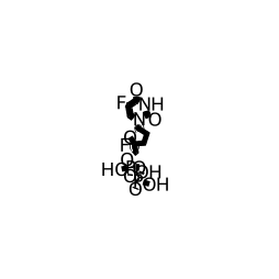 O=c1[nH]c(=O)n([C@H]2CC[C@@](F)(COP(=O)(O)OP(=O)(O)O)O2)cc1F